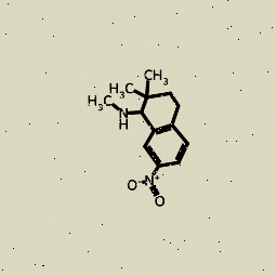 CNC1c2cc([N+](=O)[O-])ccc2CCC1(C)C